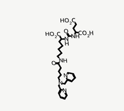 O=C(O)CCC(NC(=O)NC(CCCCCNC(=O)CCCCN(Cc1ccccn1)Cc1ccccn1)C(=O)O)C(=O)O